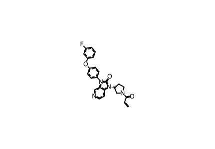 C=CC(=O)N1CC[C@@H](n2c(=O)n(-c3ccc(Oc4cccc(F)c4)cc3)c3cnccc32)C1